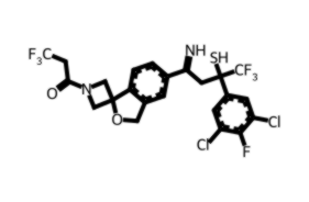 N=C(CC(S)(c1cc(Cl)c(F)c(Cl)c1)C(F)(F)F)c1ccc2c(c1)COC21CN(C(=O)CC(F)(F)F)C1